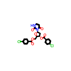 O=C(OCC1O[C@@H](n2c(=O)cc[nH]c2=O)C[C@H]1OC(=O)c1ccc(Cl)cc1)c1ccc(Cl)cc1